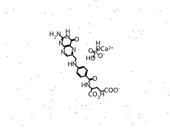 Nc1nc2ncc(CNc3ccc(C(=O)NC(CCC(=O)[O-])C(=O)O)cc3)nc2c(=O)[nH]1.O=P([O-])(O)O.[Ca+2]